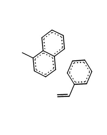 C=Cc1ccccc1.Cc1cccc2ccccc12